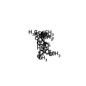 CC[C@H]1O[C@@H](n2cnc3c(NC(c4ccccc4)(c4ccc(OC)cc4)c4ccc(OC)cc4)ncnc32)[C@H](O[Si](C)(C)C(C)(C)C)[C@@H]1OC